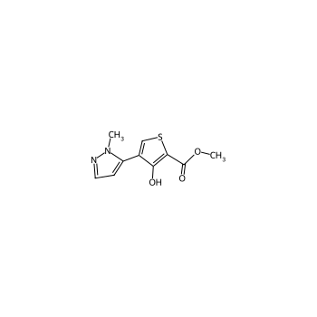 COC(=O)c1scc(-c2ccnn2C)c1O